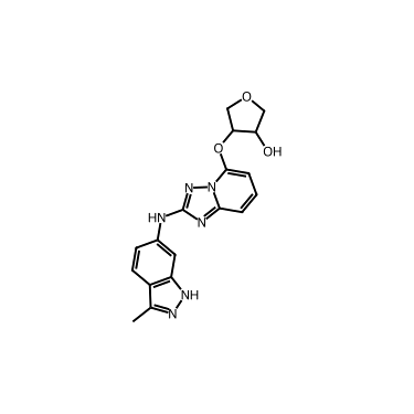 Cc1n[nH]c2cc(Nc3nc4cccc(OC5COCC5O)n4n3)ccc12